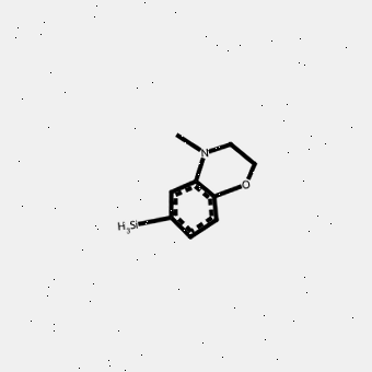 CN1CCOc2ccc([SiH3])cc21